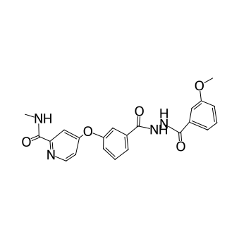 CNC(=O)c1cc(Oc2cccc(C(=O)NNC(=O)c3cccc(OC)c3)c2)ccn1